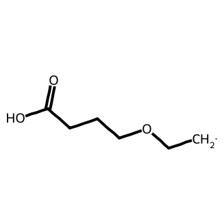 [CH2]COCCCC(=O)O